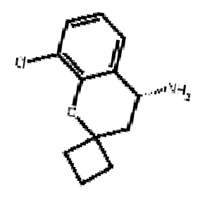 N[C@@H]1CC2(CCC2)Oc2c(Cl)cccc21